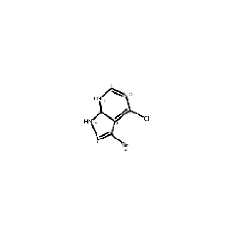 ClC1=C2C(Br)=CNC2NC=N1